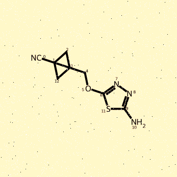 N#CC12CC1(COc1nnc(N)s1)C2